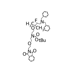 CC(C)(C)OC(=O)N(CCOCCN1C(=O)c2ccccc2C1=O)CCOC(C)(C)C(F)CN(Cc1ccccc1)Cc1ccccc1